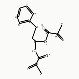 C=C(C)C(=O)OC(CCc1ccccc1)OC(=O)C(=C)C